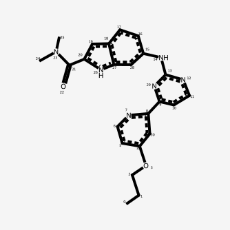 CCCOc1ccnc(-c2ccnc(Nc3ccc4cc(C(=O)N(C)C)[nH]c4c3)n2)c1